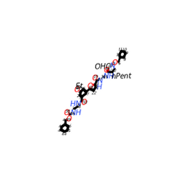 CCCCC[C@H](CN(C=O)OCc1ccccc1)C(=O)NCNC(=O)c1ccc(-c2cc(OCC)cc(C(=O)NCCNC(=O)OCc3ccccc3)c2)o1